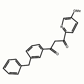 COc1ccc(C(=O)CC(=O)c2cccc(Cc3ccccc3)c2)nc1